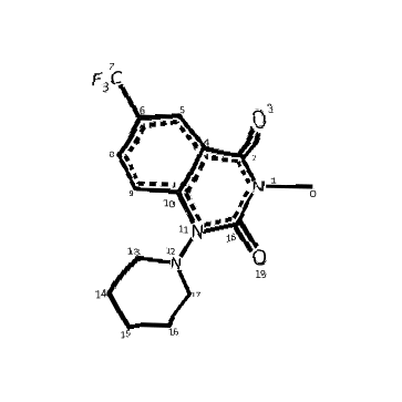 Cn1c(=O)c2cc(C(F)(F)F)ccc2n(N2CCCCC2)c1=O